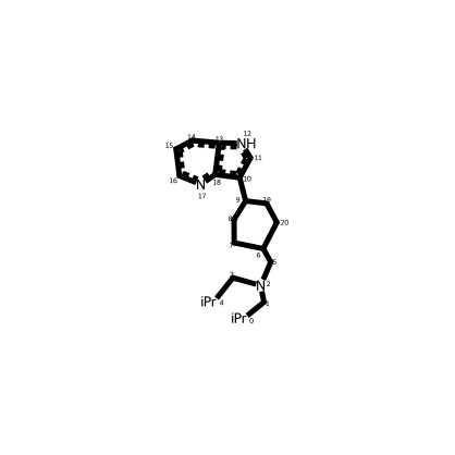 CC(C)CN(CC(C)C)CC1CCC(c2c[nH]c3cccnc23)CC1